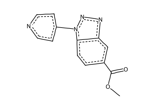 COC(=O)c1ccc2c(c1)nnn2-c1ccncc1